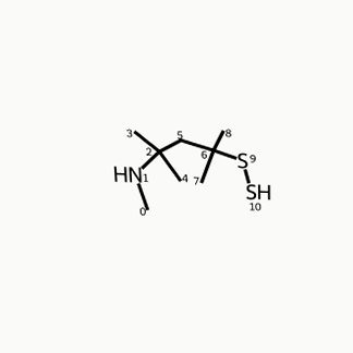 CNC(C)(C)CC(C)(C)SS